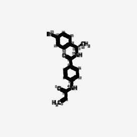 C=CC(=O)Nc1ccc(C(=O)N[C@@H](C)c2ccc(Br)cc2)cc1